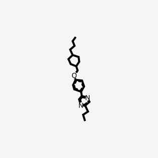 CCCCC1CCC(COc2ccc(-c3cnc(CCC)cn3)cc2)CC1